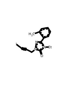 CCn1c(-c2ccccc2C)nn(CC#CI)c1=O